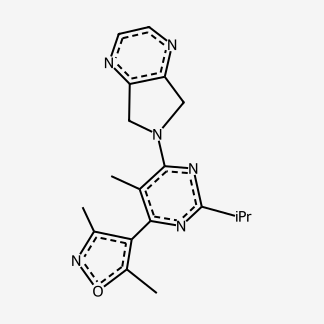 Cc1noc(C)c1-c1nc(C(C)C)nc(N2Cc3nccnc3C2)c1C